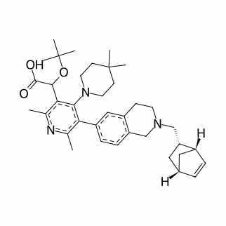 Cc1nc(C)c(C(OC(C)(C)C)C(=O)O)c(N2CCC(C)(C)CC2)c1-c1ccc2c(c1)CCN(C[C@H]1C[C@H]3C=C[C@@H]1C3)C2